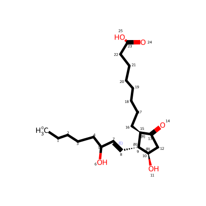 CCCCCC(O)/C=C/[C@H]1[C@H](O)CC(=O)[C@@H]1CCCCCCCC(=O)O